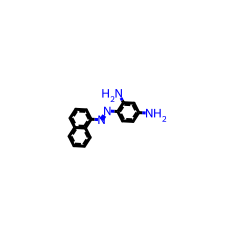 Nc1ccc(N=Nc2cccc3ccccc23)c(N)c1